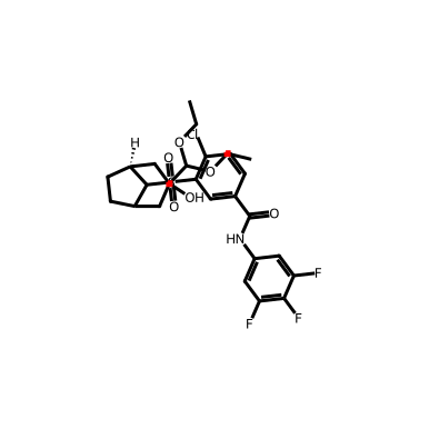 CCOC(OCC)C1(O)CC2CC[C@@H](C1)C2S(=O)(=O)c1cc(C(=O)Nc2cc(F)c(F)c(F)c2)ccc1Cl